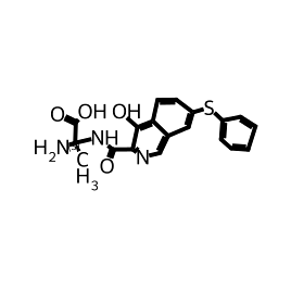 C[C@](N)(NC(=O)c1ncc2cc(Sc3ccccc3)ccc2c1O)C(=O)O